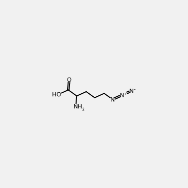 [N-]=[N+]=NCCCC(N)C(=O)O